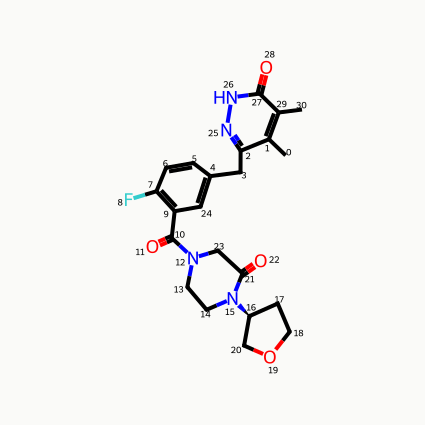 Cc1c(Cc2ccc(F)c(C(=O)N3CCN([C@H]4CCOC4)C(=O)C3)c2)n[nH]c(=O)c1C